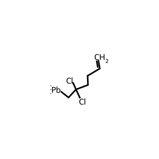 C=CCCC(Cl)(Cl)[CH2][Pb]